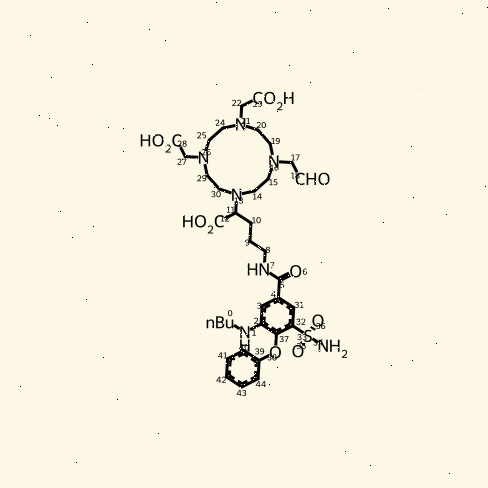 CCCCNc1cc(C(=O)NCCCC(C(=O)O)N2CCN(CC=O)CCN(CC(=O)O)CCN(CC(=O)O)CC2)cc(S(N)(=O)=O)c1Oc1ccccc1